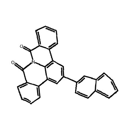 O=c1c2ccccc2c2cc(-c3ccc4ccccc4c3)cc3c4ccccc4c(=O)n1c23